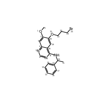 COc1cc2ncnc(NC(C)c3ccccc3)c2cc1OCCCBr